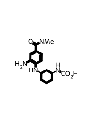 CNC(=O)c1ccc(N[C@@H]2CCC[C@H](NC(=O)O)C2)c(N)c1